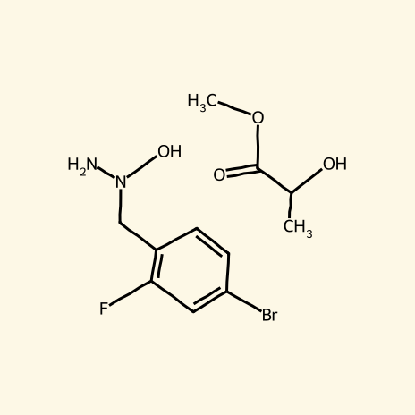 COC(=O)C(C)O.NN(O)Cc1ccc(Br)cc1F